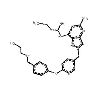 CCCC(N)Nc1nc(N)nc2cn(Cc3ccc(Oc4ccc(CNCCO)cc4)nc3)nc12